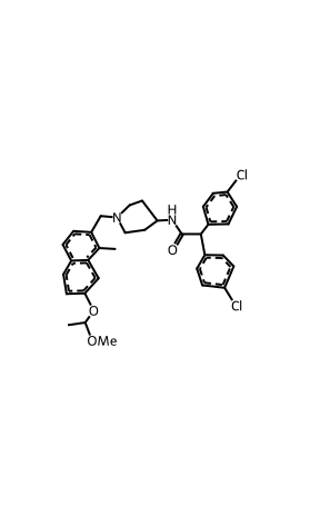 COC(C)Oc1ccc2ccc(CN3CCC(NC(=O)C(c4ccc(Cl)cc4)c4ccc(Cl)cc4)CC3)c(C)c2c1